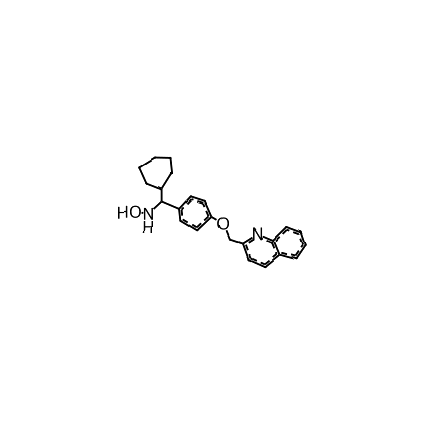 ONC(c1ccc(OCc2ccc3ccccc3n2)cc1)C1CCCCC1